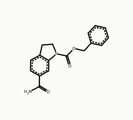 NC(=O)c1ccc2c(c1)N(C(=O)OCc1ccccc1)CC2